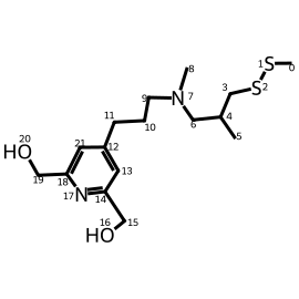 CSSCC(C)CN(C)CCCc1cc(CO)nc(CO)c1